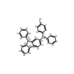 Ic1ccc(N(c2ccccc2)c2ccc3c(c2)C(c2ccccc2)c2ccccc2-3)cc1